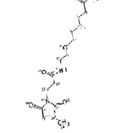 CC(=O)CCOCCOCCNC(=O)CCN1C(=O)CC(C)C1=O